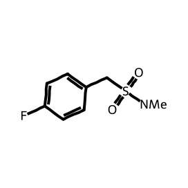 CNS(=O)(=O)Cc1ccc(F)cc1